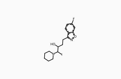 OC(CCc1noc2cc(F)ccc12)C(I)N1CCCCC1